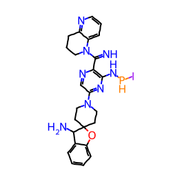 N=C(c1ncc(N2CCC3(CC2)Oc2ccccc2C3N)nc1NPI)N1CCCc2ncccc21